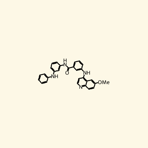 COc1ccc2nccc(Nc3cccc(C(=O)Nc4cccc(Nc5ccccc5)c4)c3)c2c1